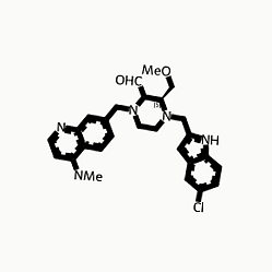 CNc1ccnc2cc(CN3CCN(Cc4cc5cc(Cl)ccc5[nH]4)[C@H](COC)C3C=O)ccc12